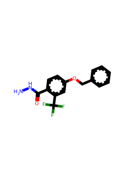 NNC(=O)c1ccc(OCc2ccccc2)cc1C(F)(F)F